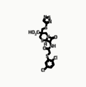 O=C(CSc1cc(Cl)ccc1Cl)NC1C(=O)N2CC(CSc3cnsn3)(C(=O)O)CS[C@H]12